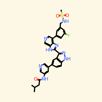 CC(C)CC(=O)Nc1cncc(-c2ccc3[nH]nc(-c4nc5c(-c6cc(F)cc(CNS(C)(=O)=O)c6)cncc5[nH]4)c3c2)c1